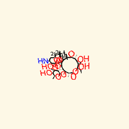 [2H]C([2H])([2H])O[C@]1(C)C[C@@H](C)C(=O)[C@H](C)[C@@H](O)[C@](C)(O)[C@@H](CC)OC(=O)[C@H](C)[C@@H](O[C@H]2C[C@@](C)(OC)[C@@H](O)[C@H](C)O2)[C@H](C)[C@H]1O[C@@H]1O[C@H](C)C[C@H](NC)[C@H]1O